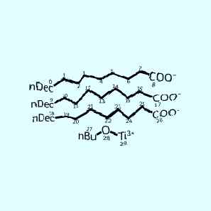 CCCCCCCCCCCCCCCCCC(=O)[O-].CCCCCCCCCCCCCCCCCC(=O)[O-].CCCCCCCCCCCCCCCCCC(=O)[O-].CCCC[O][Ti+3]